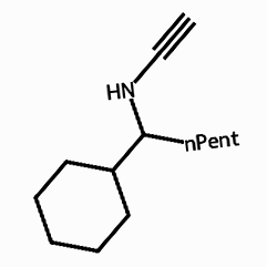 C#CNC(CCCCC)C1CCCCC1